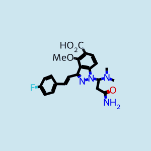 COc1c(C(=O)O)ccc2c1c(C=Cc1ccc(F)cc1)nn2C(CC(N)=O)N(C)C